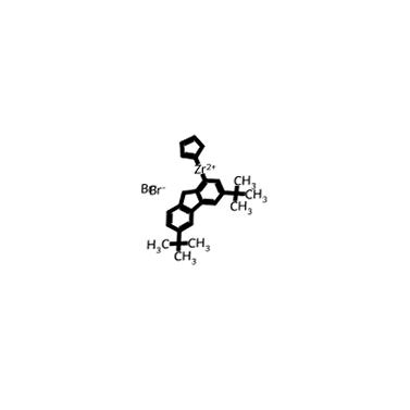 CC(C)(C)c1ccc2c(c1)-c1cc(C(C)(C)C)c[c]([Zr+2][C]3=CC=CC3)c1C2.[Br-].[Br-]